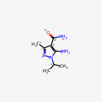 Cc1nn(C(C)C)c(N)c1C(N)=O